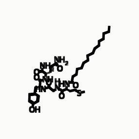 CCCCCCCCCCCCCCCC(=O)N[C@@H](CCSC)C(=O)NCC(=O)N[C@@H](Cc1ccc(O)cc1)C(=O)N[C@@H](CCC(N)=O)C(N)=O